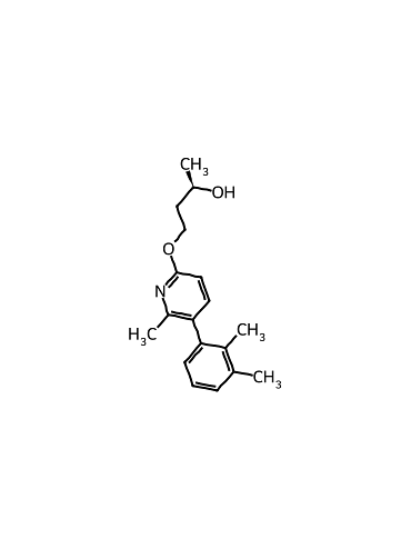 Cc1cccc(-c2ccc(OCC[C@@H](C)O)nc2C)c1C